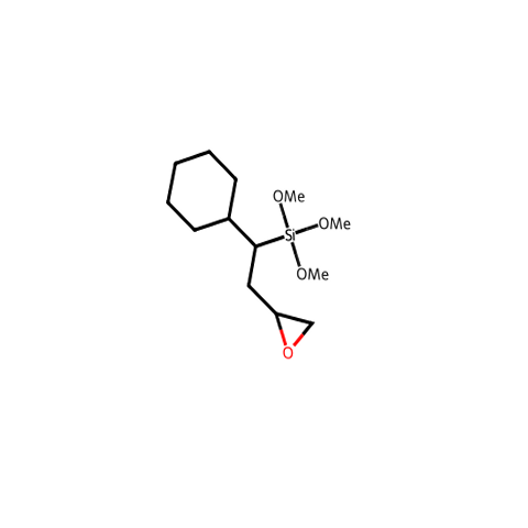 CO[Si](OC)(OC)C(CC1CO1)C1CCCCC1